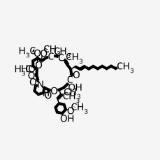 CCCCCCCC/C=C/C[C@@H]1/C=C(\C)C[C@H](C)C[C@H](OC)[C@H]2O[C@@](O)(C(=O)C(=O)N3CCCC[C@H]3C(=O)O[C@H](/C(C)=C/[C@@H]3CC[C@@H](O)[C@H](OC)C3)[C@H](C)[C@@H](O)CC1=O)[C@H](C)C[C@@H]2OC